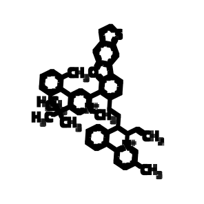 C=CC1C(CCc2ccc3c(oc4cc5ccsc5cc43)c2-c2cc(-c3c(C)cccc3C)c(C(C)(C)C)c[n+]2C)c2ccccc2-c2ccc(C)c[n+]21